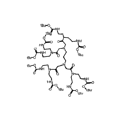 CC(C)(C)OC(=O)NCCC(CCNC(=O)OC(C)(C)C)C(=O)CN(CCCN(CC(=O)N(CCNC(=O)OC(C)(C)C)CCNC(=O)OC(C)(C)C)CC(=O)N(CCNC(=O)OC(C)(C)C)CCNC(=O)OC(C)(C)C)CC(=O)N(CCNC(=O)OC(C)(C)C)CCNC(=O)OC(C)(C)C